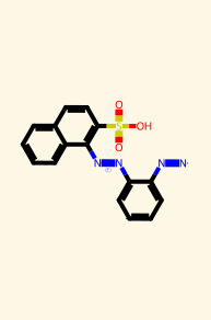 [N]=Nc1cc[c]cc1/N=N/c1c(S(=O)(=O)O)ccc2ccccc12